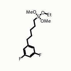 CCO[Si](CCCCCc1cc(F)cc(F)c1)(OC)OC